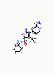 CC1(C)Cc2cnc(N)nc2-c2[nH]nc(C(=O)NC3CCCCC3)c21